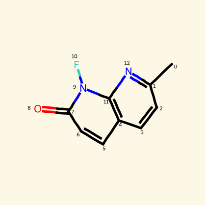 Cc1ccc2ccc(=O)n(F)c2n1